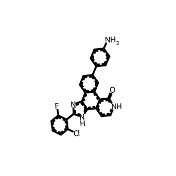 Nc1ccc(-c2ccc3c(c2)c2c(=O)[nH]ccc2c2[nH]c(-c4c(F)cccc4Cl)nc32)cc1